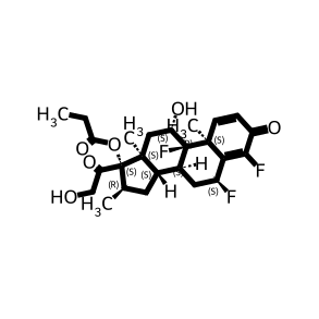 CCC(=O)O[C@@]1(C(=O)CO)[C@H](C)C[C@H]2[C@@H]3C[C@H](F)C4=C(F)C(=O)C=C[C@]4(C)[C@@]3(F)[C@@H](O)C[C@@]21C